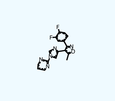 Cc1onc(-c2ccc(F)c(F)c2)c1-c1cn(-c2ncccn2)cn1